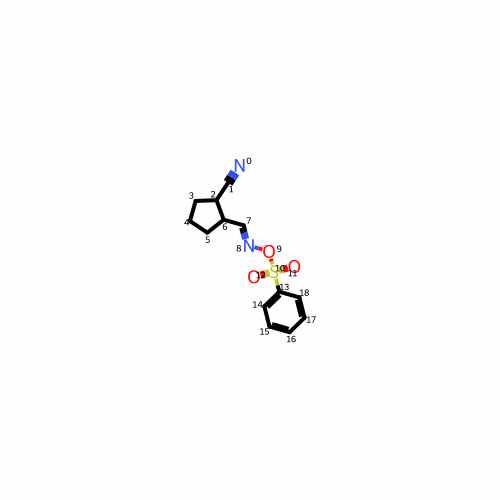 N#CC1CCCC1C=NOS(=O)(=O)c1ccccc1